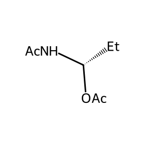 CC[C@@H](NC(C)=O)OC(C)=O